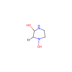 CCC1C(O)NCCN1O